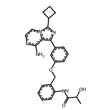 CC(O)C(=O)Nc1ccccc1COc1cccc(-c2nc(C3CCC3)n3ccnc(N)c23)c1